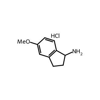 COc1ccc2c(c1)CCC2N.Cl